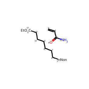 C=CC(N)=O.CCCCCCCCCCCCCCCC(=O)OCC